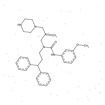 C=C(CN1CCNCC1)CN(CCC(c1ccccc1)c1ccccc1)C(=O)Nc1cccc(OC)c1